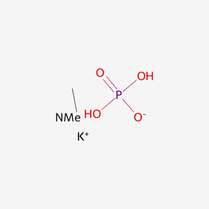 CNC.O=P([O-])(O)O.[K+]